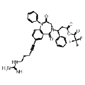 N=C(N)NCCCC#Cc1ccc2c(c1)C(=O)N(C(CC(=O)OC(=O)C(F)(F)F)c1ccccc1)CC(=O)N2c1ccccc1